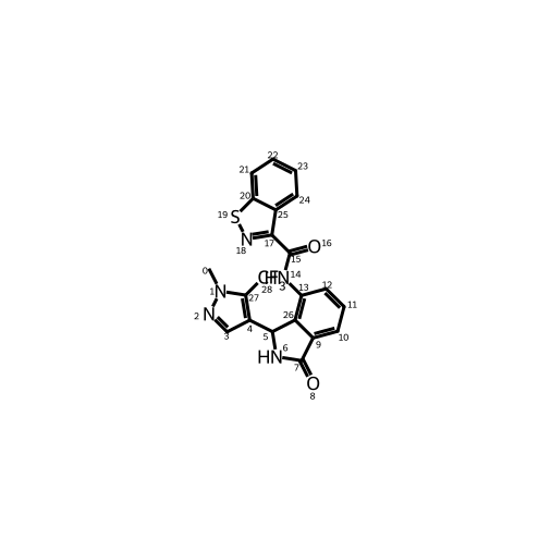 Cn1ncc(C2NC(=O)c3cccc(NC(=O)c4nsc5ccccc45)c32)c1C(F)(F)F